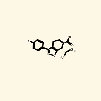 CC(C)[C@@H]1c2onc(-c3ccc(Cl)cc3)c2CC[C@H]1C(=O)O